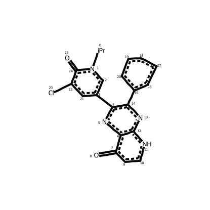 CC(C)n1cc(-c2nc3c(=O)cc[nH]c3nc2-c2ccccc2)cc(Cl)c1=O